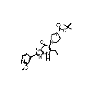 CCc1[nH]c2nc(-c3ccnc(OC)c3)sc2c(=O)c1N1CCN(C(=O)OC(C)(C)C)CC1